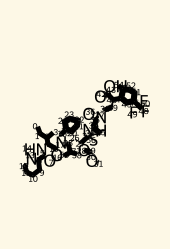 CCC(C)C(NC(=O)C1CCCCN1C)C(=O)N(Cc1ccccc1)[C@H](C[C@@H](OCOC)c1nc(C(=O)NCC[C@@H](C(=O)O)c2cc(C(F)(F)F)ccc2C)cs1)C(C)C